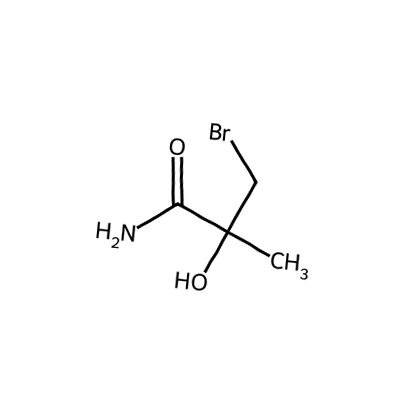 CC(O)(CBr)C(N)=O